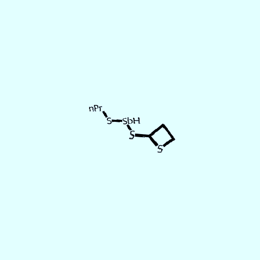 CCC[S][SbH][S]C1CCS1